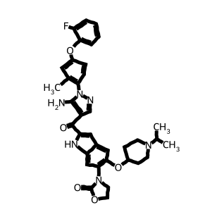 Cc1cc(Oc2ccccc2F)ccc1-n1ncc(C(=O)c2cc3cc(OC4CCN(C(C)C)CC4)c(N4CCOC4=O)cc3[nH]2)c1N